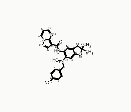 CN(Cc1ccc(C#N)cc1)c1cc2c(cc1NC(=O)c1cnn3cccnc13)CC(C)(C)O2